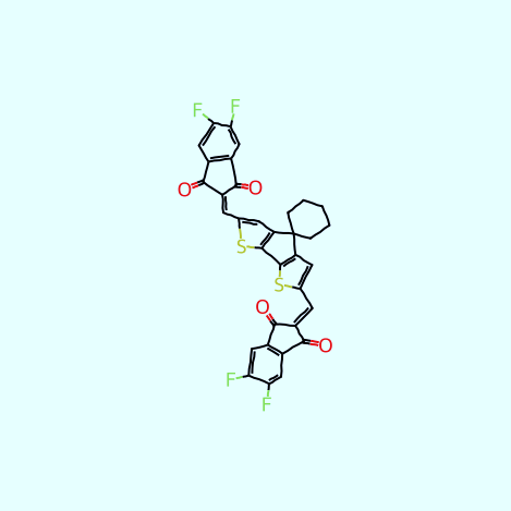 O=C1C(=Cc2cc3c(s2)-c2sc(C=C4C(=O)c5cc(F)c(F)cc5C4=O)cc2C32CCCCC2)C(=O)c2cc(F)c(F)cc21